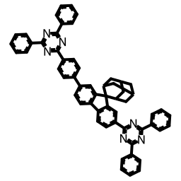 c1ccc(-c2nc(-c3ccccc3)nc(-c3ccc(-c4ccc5c(c4)C4(c6cc(-c7nc(-c8ccccc8)nc(-c8ccccc8)n7)ccc6-5)C5CC6CC(C5)CC4C6)cc3)n2)cc1